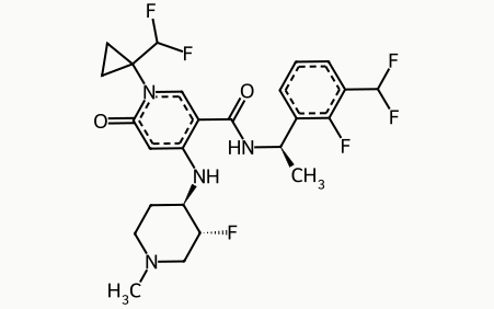 C[C@@H](NC(=O)c1cn(C2(C(F)F)CC2)c(=O)cc1N[C@@H]1CCN(C)C[C@H]1F)c1cccc(C(F)F)c1F